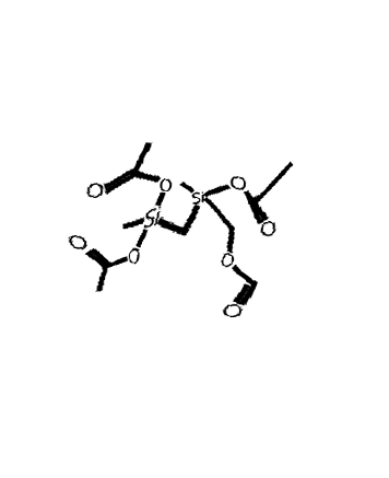 CC(=O)O[Si](C)(COC=O)C[Si](C)(OC(C)=O)OC(C)=O